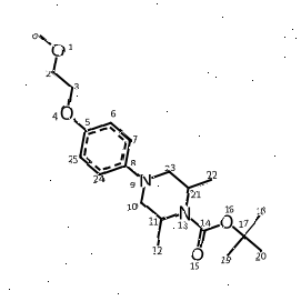 COCCOc1ccc(N2CC(C)N(C(=O)OC(C)(C)C)C(C)C2)cc1